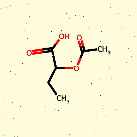 CCC(OC(C)=O)C(=O)O